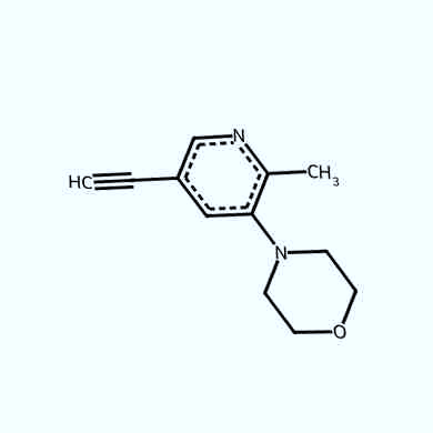 C#Cc1cnc(C)c(N2CCOCC2)c1